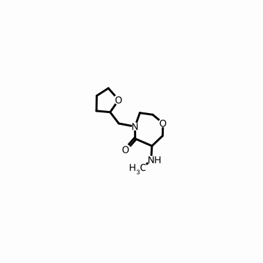 CNC1COCCN(CC2CCCO2)C1=O